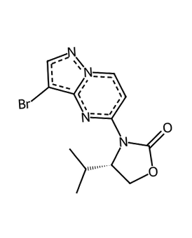 CC(C)[C@H]1COC(=O)N1c1ccn2ncc(Br)c2n1